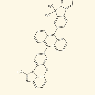 Cc1nc2cccc3c2n1-c1ccc(-c2c4ccccc4c(-c4ccc5c(c4)C(C)(C)c4ccccc4-5)c4ccccc24)cc1S3